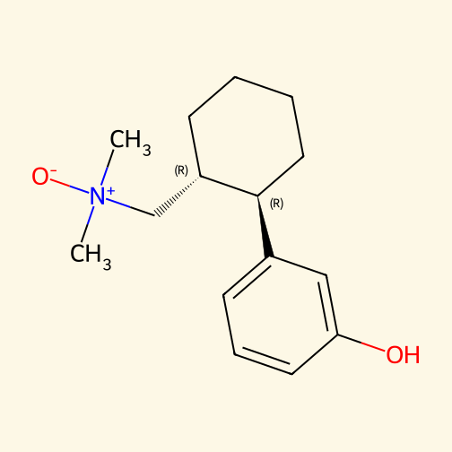 C[N+](C)([O-])C[C@@H]1CCCC[C@H]1c1cccc(O)c1